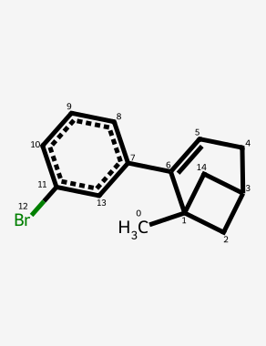 CC12CC(CC=C1c1cccc(Br)c1)C2